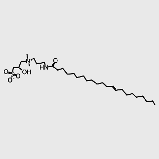 CCCCCCCC/C=C/CCCCCCCCCCCC(=O)NCCC[N+](C)(C)CC(O)CS(=O)(=O)[O-]